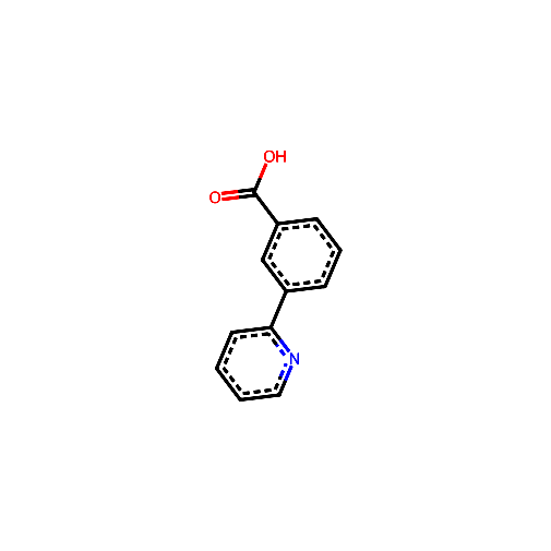 O=C(O)c1cccc(-c2ccccn2)c1